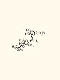 C=C1C[C@@H](CC(=O)O)O[C@H](C=CC(C)=CC[C@@H]2O[C@H](C)[C@H](NC(=O)C=C[C@H](C)OC(C)=O)C[C@@H]2C)[C@H]1O